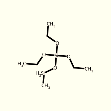 CCO[Si](OCC)(OCC)O[SiH2]C